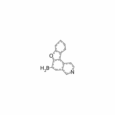 Bc1cc2cnccc2c2c1oc1ccccc12